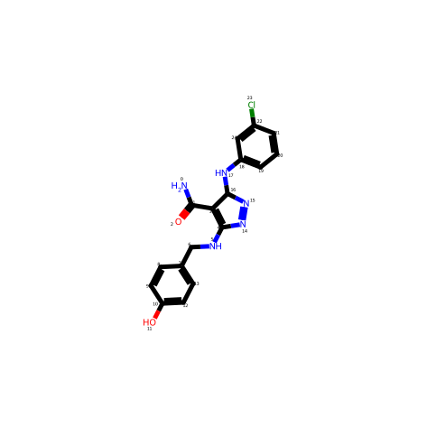 NC(=O)C1=C(NCc2ccc(O)cc2)N=NC1Nc1cccc(Cl)c1